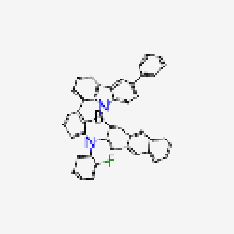 Fc1ccccc1N1c2cc3cc4ccccc4cc3cc2B2c3c(cccc31)-c1cccc3c4cc(-c5ccccc5)ccc4n2c13